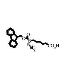 [N-]=[N+]=NN(CCCCCC(=O)O)C(=O)OCC1c2ccccc2-c2ccccc21